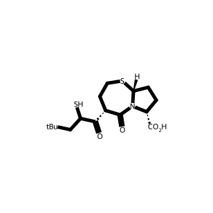 CC(C)(C)CC(S)C(=O)[C@@H]1CCS[C@@H]2CC[C@H](C(=O)O)N2C1=O